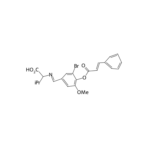 COc1cc(/C=N/C(C(=O)O)C(C)C)cc(Br)c1OC(=O)/C=C/c1ccccc1